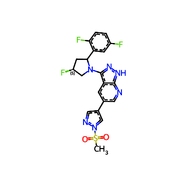 CS(=O)(=O)n1cc(-c2cnc3[nH]nc(N4C[C@@H](F)CC4c4cc(F)ccc4F)c3c2)cn1